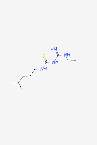 CCNC(=N)NC(=S)NCCCC(C)C